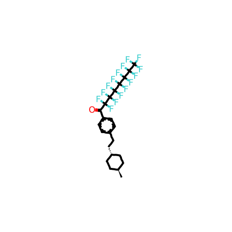 C[C@H]1CC[C@H](CCc2ccc(C(=O)C(F)(F)C(F)(F)C(F)(F)C(F)(F)C(F)(F)C(F)(F)C(F)(F)F)cc2)CC1